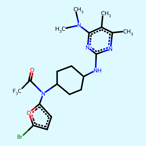 Cc1nc(NC2CCC(N(C(=O)C(F)(F)F)c3ccc(Br)o3)CC2)nc(N(C)C)c1C